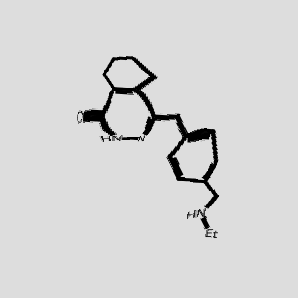 CCNCc1ccc(Cc2n[nH]c(=O)c3c2CCCC3)cc1